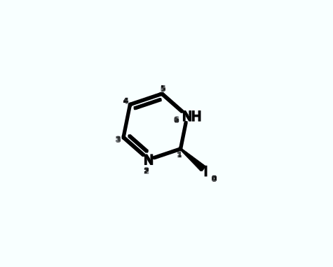 I[C@H]1N=CC=CN1